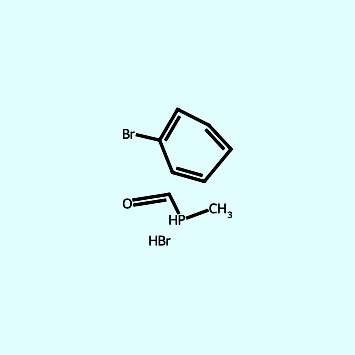 Br.Brc1ccccc1.CPC=O